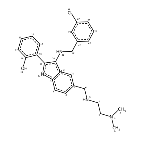 CN(C)CCNCc1ccc2nc(-c3ccccc3O)c(NCc3cccc(Cl)c3)n2c1